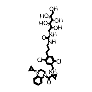 O=C(NCCCc1cc(Cl)c(CNC2(C(=O)N3CCN(C4CC4)c4ccccc43)CC2)cc1Cl)NC[C@H](O)[C@@H](O)[C@H](O)[C@H](O)CO